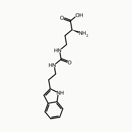 N[C@@H](CCNC(=O)NCCc1cc2ccccc2[nH]1)C(=O)O